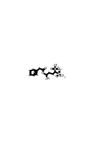 CC(C)C(CCC(S(=O)(=O)C(F)(F)F)S(=O)(=O)C(F)(F)F)OC(=O)CC1CC2C=CC1C2